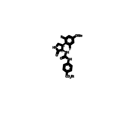 CCOC(=O)c1ccc(NC(=O)N[C@@H]2C(=O)NC[C@H]2c2c(F)cc(OC)cc2F)cc1